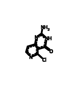 Nc1nc2ccnc(Cl)c2c(=O)[nH]1